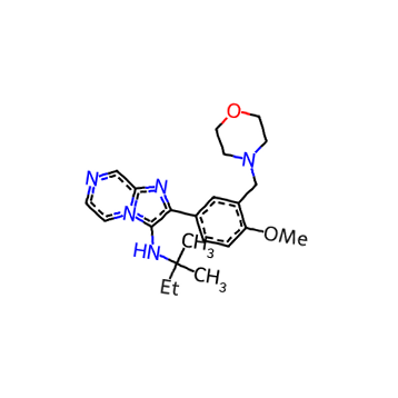 CCC(C)(C)Nc1c(-c2ccc(OC)c(CN3CCOCC3)c2)nc2cnccn12